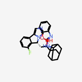 O[C@H](C[C@@H]1c2c(F)cccc2-c2cncn21)C12CC3CC(C1)C(Nc1nc4ccccc4o1)C(C3)C2